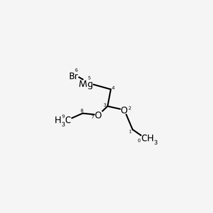 CCOC([CH2][Mg][Br])OCC